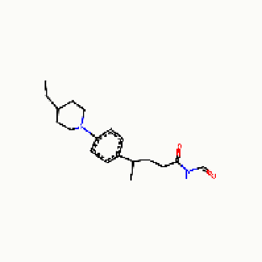 CCC1CCN(c2ccc(C(C)CCC(=O)NC=O)cc2)CC1